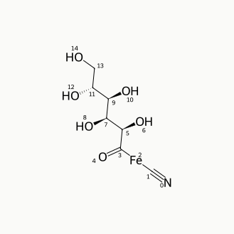 N#[C][Fe][C](=O)[C@H](O)[C@@H](O)[C@H](O)[C@H](O)CO